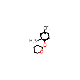 FC(F)(F)c1ccc(OC2CCCCO2)c([SiH3])c1